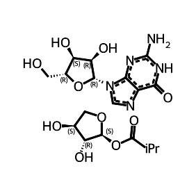 CC(C)C(=O)O[C@@H]1OC[C@H](O)[C@H]1O.Nc1nc2c(ncn2[C@@H]2O[C@H](CO)[C@@H](O)[C@H]2O)c(=O)[nH]1